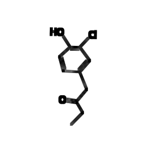 CCC(=O)Cc1ccc(O)c(Cl)c1